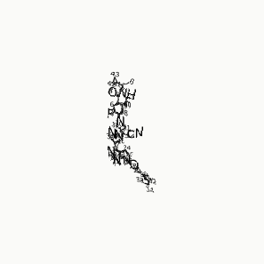 C[C@@H](NC(=O)c1cc(F)c(N2CC(CC#N)(n3cc(-c4ncnc5c4ccn5COCCS(C)(C)C)cn3)C2)cc1F)C1CC1